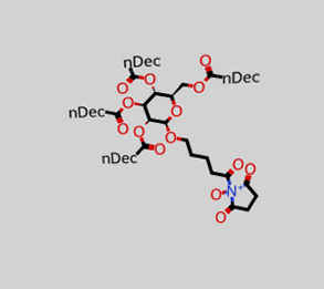 CCCCCCCCCCC(=O)OC[C@H]1O[C@@H](OCCCCC(=O)[N+]2([O-])C(=O)CCC2=O)[C@H](OC(=O)CCCCCCCCCC)[C@@H](OC(=O)CCCCCCCCCC)[C@@H]1OC(=O)CCCCCCCCCC